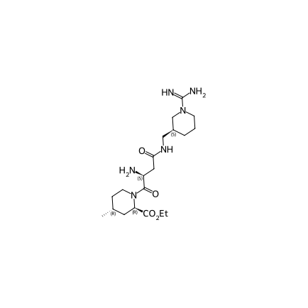 CCOC(=O)[C@H]1C[C@H](C)CCN1C(=O)[C@@H](N)CC(=O)NC[C@@H]1CCCN(C(=N)N)C1